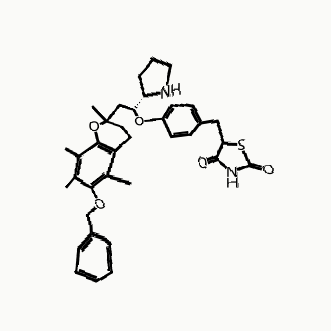 Cc1c(C)c2c(c(C)c1OCc1ccccc1)CCC(C)(CC(Oc1ccc(CC3SC(=O)NC3=O)cc1)[C@@H]1CCCN1)O2